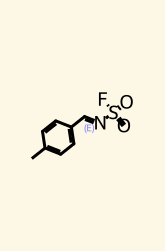 Cc1ccc(/C=N/S(=O)(=O)F)cc1